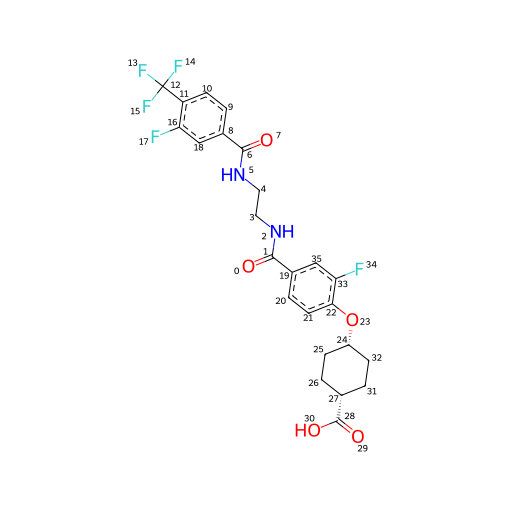 O=C(NCCNC(=O)c1ccc(C(F)(F)F)c(F)c1)c1ccc(O[C@H]2CC[C@@H](C(=O)O)CC2)c(F)c1